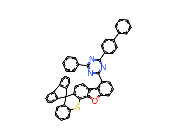 c1ccc(-c2ccc(-c3nc(-c4ccccc4)nc(-c4cccc5oc6c7c(ccc6c45)C4(c5ccccc5S7)c5ccccc5-c5ccccc54)n3)cc2)cc1